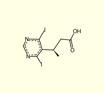 C[C@H](CC(=O)O)c1c(I)ncnc1I